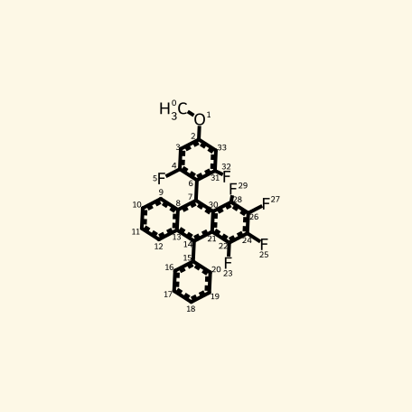 COc1cc(F)c(-c2c3ccccc3c(-c3ccccc3)c3c(F)c(F)c(F)c(F)c23)c(F)c1